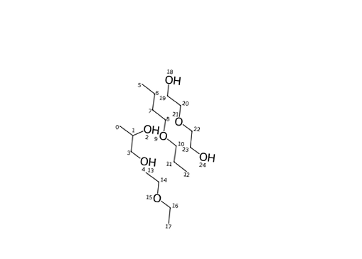 CC(O)CO.CCCCOCCC.CCOCC.OCCOCCO